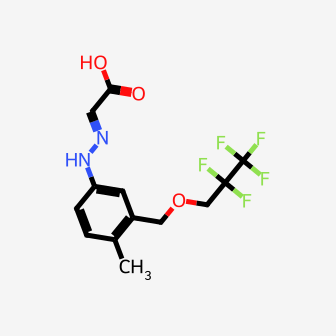 Cc1ccc(NN=CC(=O)O)cc1COCC(F)(F)C(F)(F)F